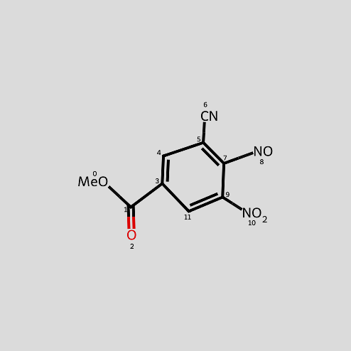 COC(=O)c1cc(C#N)c(N=O)c([N+](=O)[O-])c1